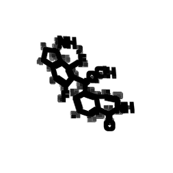 Cl.N[C@H]1CCc2cc(F)c(C(=O)c3cccc4c(=O)[nH]ccc34)c(F)c21